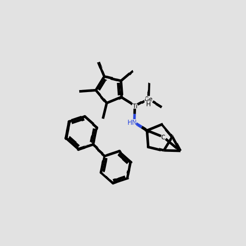 CC1=C(C)C(C)[C]([Ti]([NH]C23CC4C(C2)C4C3)[GeH]([CH3])[CH3])=C1C.c1ccc(-c2ccccc2)cc1